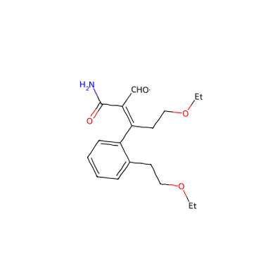 CCOCCC(=C([C]=O)C(N)=O)c1ccccc1CCOCC